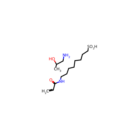 C=CC(=O)NCCCCCCCCS(=O)(=O)O.CC(O)CN